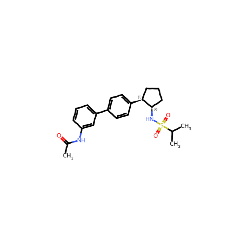 CC(=O)Nc1cccc(-c2ccc([C@H]3CCC[C@H]3NS(=O)(=O)C(C)C)cc2)c1